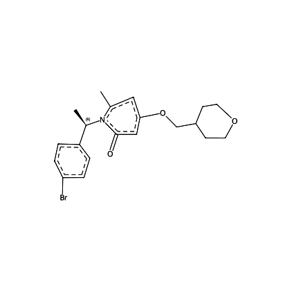 Cc1cc(OCC2CCOCC2)cc(=O)n1[C@H](C)c1ccc(Br)cc1